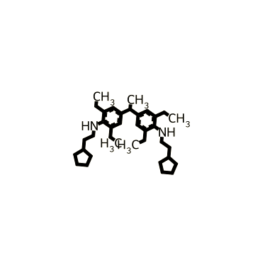 CCc1cc(C(C)c2cc(CC)c(NCCC3CCCC3)c(CC)c2)cc(CC)c1NCCC1CCCC1